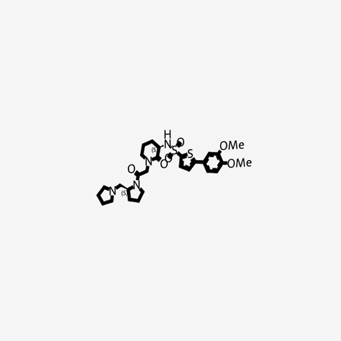 COc1ccc(-c2ccc(S(=O)(=O)N[C@H]3CCCN(CC(=O)N4CCC[C@H]4CN4CCCC4)C3=O)s2)cc1OC